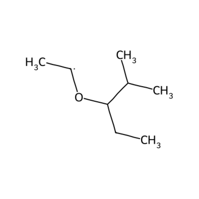 C[CH]OC(CC)C(C)C